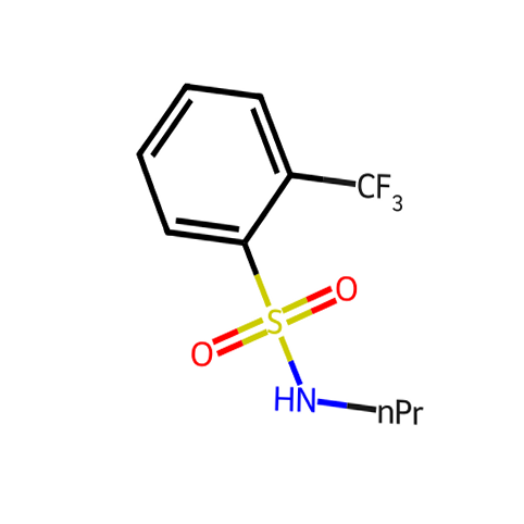 CCCNS(=O)(=O)c1ccccc1C(F)(F)F